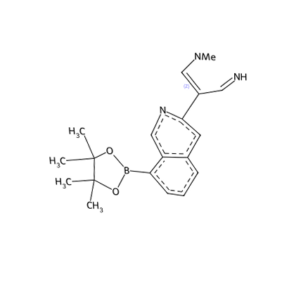 CN/C=C(\C=N)c1cc2cccc(B3OC(C)(C)C(C)(C)O3)c2cn1